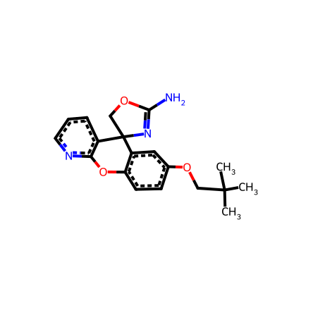 CC(C)(C)COc1ccc2c(c1)C1(COC(N)=N1)c1cccnc1O2